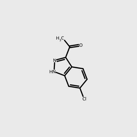 CC(=O)c1n[nH]c2cc(Cl)ccc12